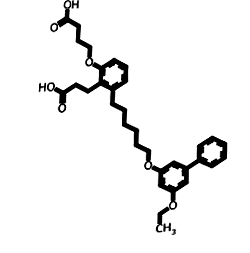 CCOc1cc(OCCCCCCc2cccc(OCCCC(=O)O)c2CCC(=O)O)cc(-c2ccccc2)c1